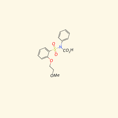 COCCOc1ccccc1S(=O)(=O)N(C(=O)O)c1ccccc1